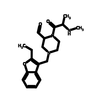 CCc1oc2ccccc2c1CN1CCN(C(=O)C(C)NC)C(C=O)C1